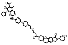 CC(=O)c1c(C)c2cnc(Nc3ccc(N4CCN(CCOCCC(=O)N5CCC6(CCc7cc8c(cc7O6)C(=O)N(C6CCCNC6)C8)CC5)CC4)cn3)nc2n(C2CCCC2)c1=O